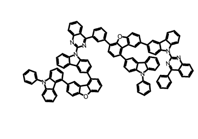 c1ccc(-c2nc(-n3c4ccccc4c4cc(-c5ccc6oc7c(-c8cccc(-c9nc(-n%10c%11ccccc%11c%11cc(-c%12cccc%13oc%14ccc(-c%15cccc%16c%15c%15ccccc%15n%16-c%15ccccc%15)cc%14c%12%13)ccc%11%10)nc%10ccccc9%10)c8)ccc(-c8ccc9c(c8)c8ccccc8n9-c8ccccc8)c7c6c5)ccc43)nc3ccccc23)cc1